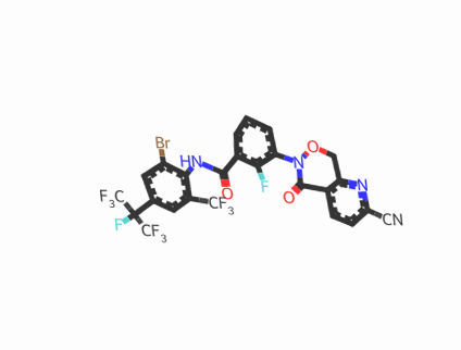 N#Cc1ccc2c(n1)CON(c1cccc(C(=O)Nc3c(Br)cc(C(F)(C(F)(F)F)C(F)(F)F)cc3C(F)(F)F)c1F)C2=O